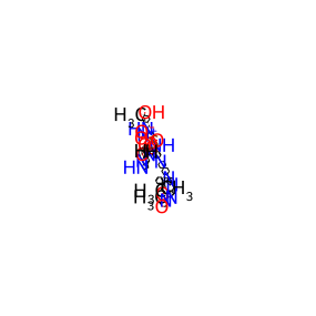 COc1cc(CN2CCN(C3CCC4(CC3)CCN(c3ccc(C(=O)NS(=O)(=O)c5ccc(NC[C@H]6CC[C@](C)(O)CC6)c([N+](=O)[O-])c5)c(N5c6cc7cc[nH]c7nc6O[C@H]6COCC[C@@H]65)c3)CC4)[C@H](c3ccccc3C(C)C)C2)cnc1N1CCOCC1